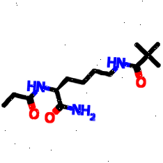 CCC(=O)N[C@@H](CCCCNC(=O)C(C)(C)C)C(N)=O